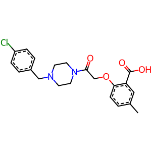 Cc1ccc(OCC(=O)N2CCN(Cc3ccc(Cl)cc3)CC2)c(C(=O)O)c1